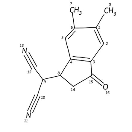 Cc1cc2c(cc1C)C(C(C#N)C#N)CC2=O